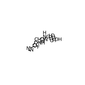 O[C@@H]1CO[C@H]2[C@@H]1OC[C@H]2Oc1nc2nc(NC3CCc4cc(-c5cnccn5)cc(F)c43)c(Cl)cc2[nH]1